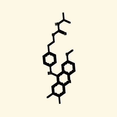 COc1ccc2nc3cc(C)c(C)cc3c(Nc3ccc(CCOC(=O)NC(C)C)cc3)c2c1